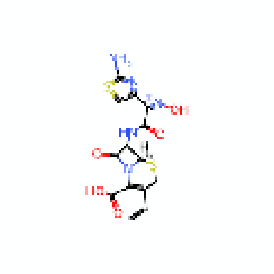 C=CC1=C(C(=O)O)N2C(=O)C(NC(=O)/C(=N\O)c3csc(N)n3)[C@H]2SC1